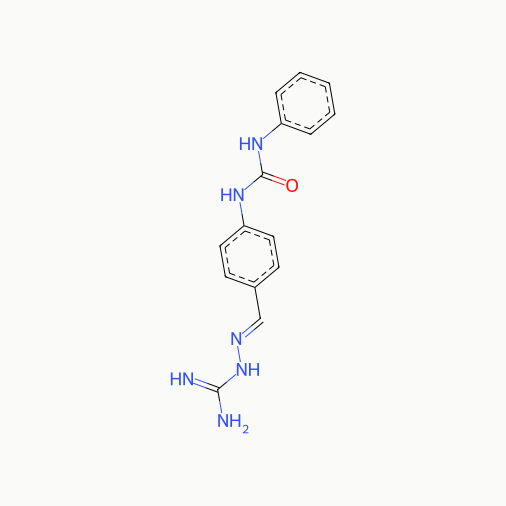 N=C(N)N/N=C/c1ccc(NC(=O)Nc2ccccc2)cc1